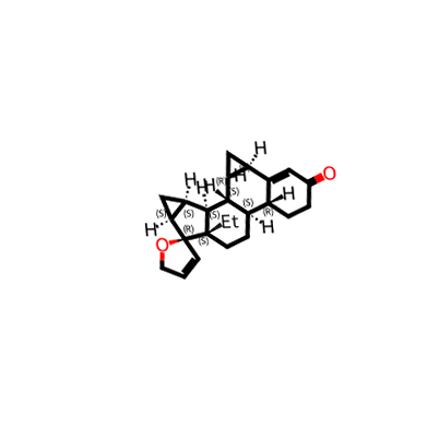 CC[C@]12CC[C@H]3[C@@H]([C@H]4C[C@H]4C4=CC(=O)CC[C@@H]43)[C@@H]1[C@@H]1C[C@@H]1[C@@]21C=CCO1